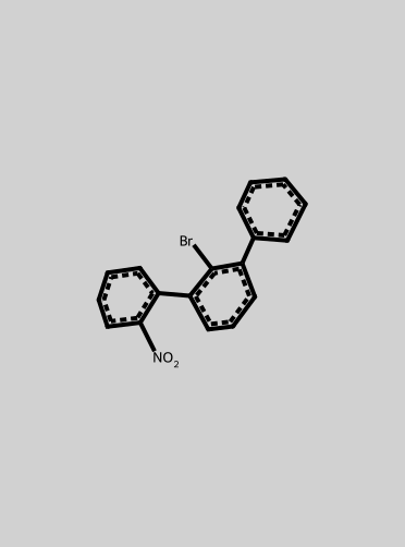 O=[N+]([O-])c1ccccc1-c1cccc(-c2ccccc2)c1Br